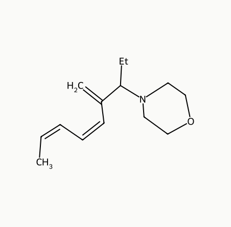 C=C(/C=C\C=C/C)C(CC)N1CCOCC1